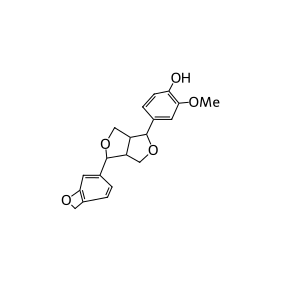 COc1cc(C2OCC3C(c4ccc5c(c4)OC5)OCC23)ccc1O